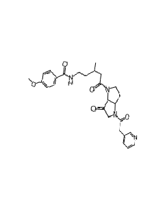 COc1ccc(C(=O)NCCC(C)CC(=O)N2CCC3C2C(=O)CN3C(=O)Cc2cccnc2)cc1